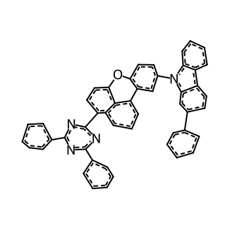 c1ccc(-c2ccc3c4ccccc4n(-c4ccc5c(c4)-c4cccc6c(-c7nc(-c8ccccc8)nc(-c8ccccc8)n7)ccc(c46)O5)c3c2)cc1